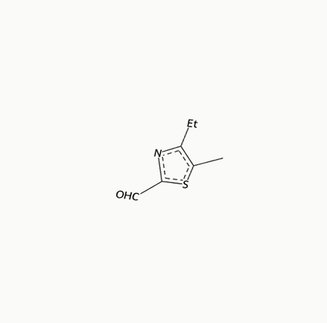 CCc1nc(C=O)sc1C